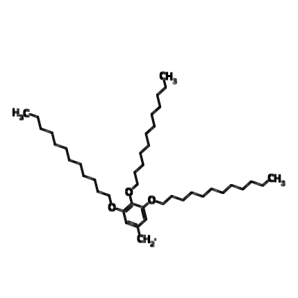 [CH2]c1cc(OCCCCCCCCCCCC)c(OCCCCCCCCCCCC)c(OCCCCCCCCCCCC)c1